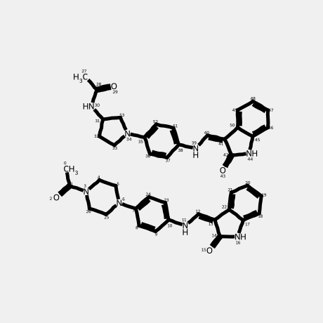 CC(=O)N1CCN(c2ccc(NC=C3C(=O)Nc4ccccc43)cc2)CC1.CC(=O)NC1CCN(c2ccc(NC=C3C(=O)Nc4ccccc43)cc2)C1